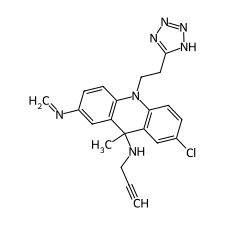 C#CCNC1(C)c2cc(Cl)ccc2N(CCc2nnn[nH]2)c2ccc(N=C)cc21